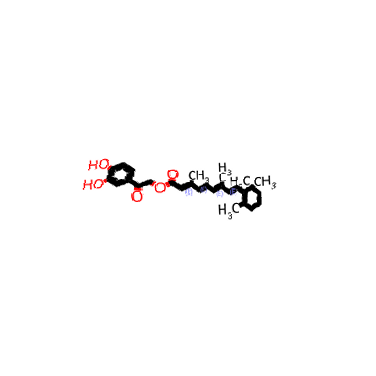 CC1=C(/C=C/C(C)=C/C=C/C(C)=C/C(=O)OCC(=O)c2ccc(O)c(O)c2)C(C)(C)CCC1